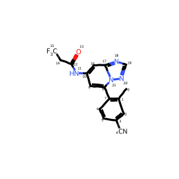 Cc1cc(C#N)ccc1-c1cc(NC(=O)CC(F)(F)F)cc2ncnn12